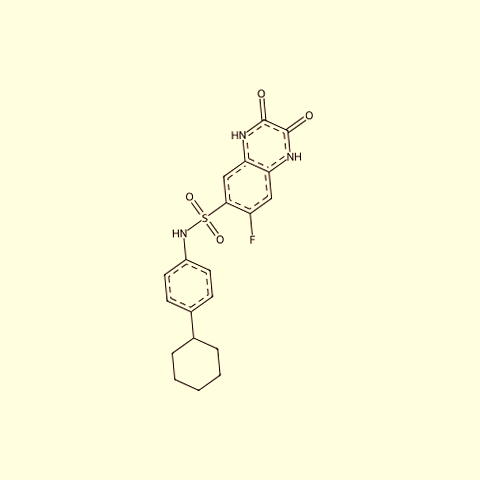 O=c1[nH]c2cc(F)c(S(=O)(=O)Nc3ccc(C4CCCCC4)cc3)cc2[nH]c1=O